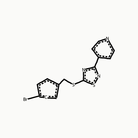 Brc1ccc(CSc2nc(-c3ccncc3)ns2)cc1